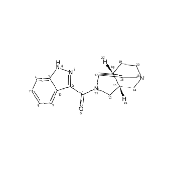 O=C(c1n[nH]c2ccccc12)N1C[C@H]2CN3C=C1[C@@H]2CC3